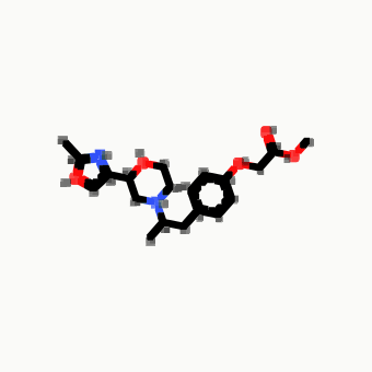 COC(=O)COc1ccc(CC(C)N2CCOC(c3coc(C)n3)C2)cc1